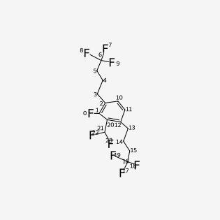 Fc1c(CCCC(F)(F)F)ccc(CCCC(F)(F)F)c1C(F)F